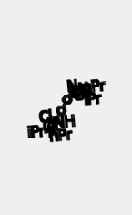 CCCN(Cc1ncc(-c2ccc(-c3ccc(-c4[nH]c(CN(CCC)C(=O)CC(C)C)nc4Cl)cc3)cc2)[nH]1)C(=O)CC(C)C